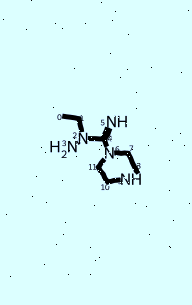 CCN(N)C(=N)N1CCNCC1